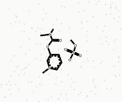 CN(C)C(=O)Oc1ccc[n+](C)c1.COS(=O)(=O)[O-]